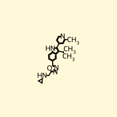 Cc1cc(-c2[nH]c3ccc(-c4nnc(CNC5CC5)o4)cc3c2C(C)C)ccn1